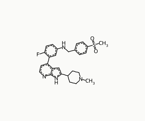 CN1CCC(c2cc3c(-c4cc(NCc5ccc(S(C)(=O)=O)cc5)ccc4F)ccnc3[nH]2)CC1